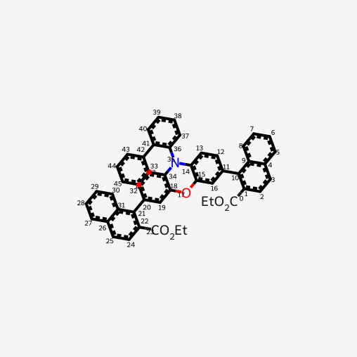 CCOC(=O)c1ccc2ccccc2c1-c1ccc2c(c1)Oc1cc(-c3c(C(=O)OCC)ccc4ccccc34)ccc1N2c1ccccc1-c1ccccc1